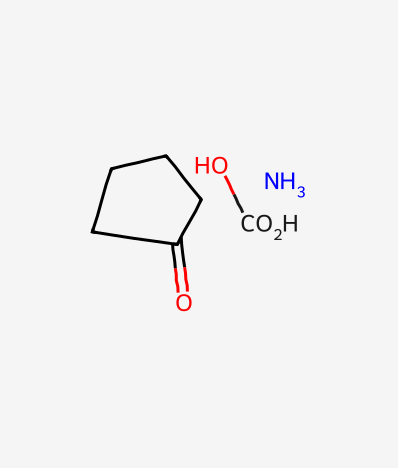 N.O=C(O)O.O=C1CCCC1